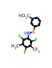 Cc1c(F)c(NSc2cccc(C(=O)O)c2)c(F)c(C(F)(F)F)c1F